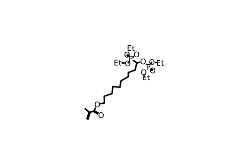 C=C(C)C(=O)OCCCCCCCCCC(OP(=O)(OCC)OCC)P(=O)(OCC)OCC